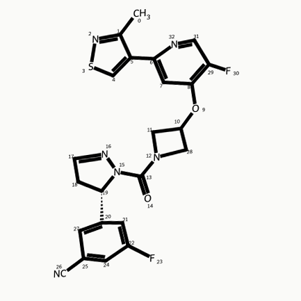 Cc1nscc1-c1cc(OC2CN(C(=O)N3N=CC[C@H]3c3cc(F)cc(C#N)c3)C2)c(F)cn1